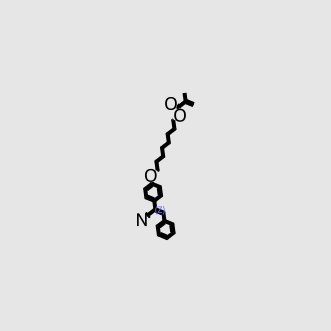 C=C(C)C(=O)OCCCCCCCCOc1ccc(/C(C#N)=C/c2ccccc2)cc1